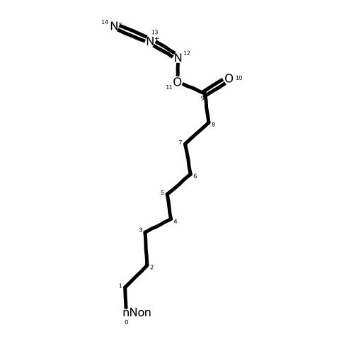 CCCCCCCCCCCCCCCCCC(=O)ON=[N+]=[N-]